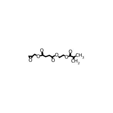 C=C(C)C(=O)OCCOC(=O)CCC(=O)OCC1CO1